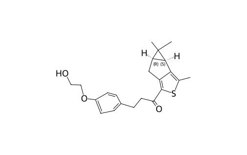 Cc1sc(C(=O)CCc2ccc(OCCO)cc2)c2c1[C@H]1[C@@H](C2)C1(C)C